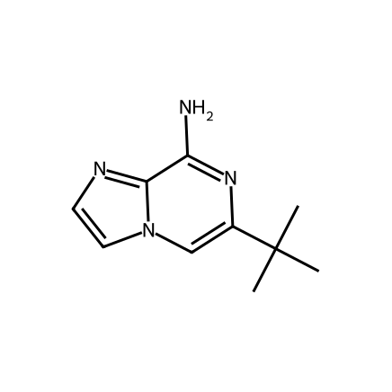 CC(C)(C)c1cn2ccnc2c(N)n1